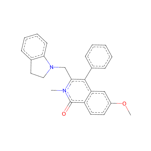 COc1ccc2c(=O)n(C)c(CN3CCc4ccccc43)c(-c3ccccc3)c2c1